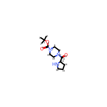 CC(C)(C)OC(=O)N1CCN(C(=O)C2CCCN2)CC1